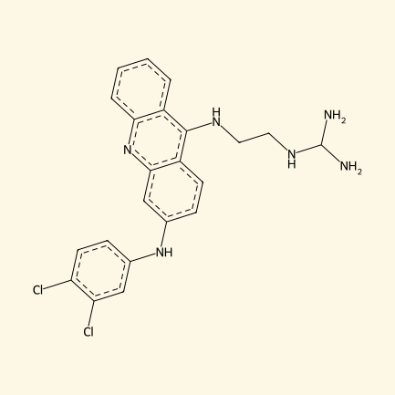 NC(N)NCCNc1c2ccccc2nc2cc(Nc3ccc(Cl)c(Cl)c3)ccc12